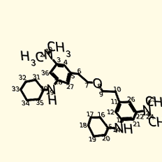 CN(C)c1cc(CCOCCc2cc(NC3CCCCC3)cc(N(C)C)c2)cc(NC2CCCCC2)c1